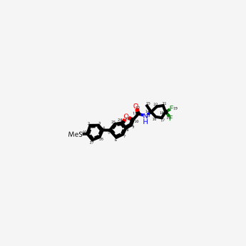 CSc1ccc(-c2ccc3cc(C(=O)NC4(C)CCC(F)(F)CC4)oc3c2)cc1